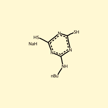 CCCCNc1nc(S)nc(S)n1.[NaH]